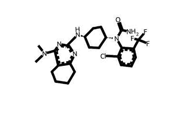 CN(C)c1nc(N[C@H]2CC[C@@H](N(C(N)=O)c3c(Cl)cccc3C(F)(F)F)CC2)nc2c1CCCC2